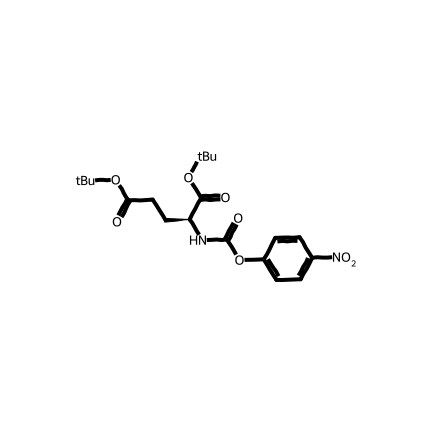 CC(C)(C)OC(=O)CC[C@H](NC(=O)Oc1ccc([N+](=O)[O-])cc1)C(=O)OC(C)(C)C